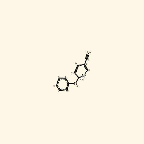 N#CC1=[C]NC(Oc2ccccc2)C=C1